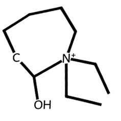 CC[N+]1(CC)CCCCCC1O